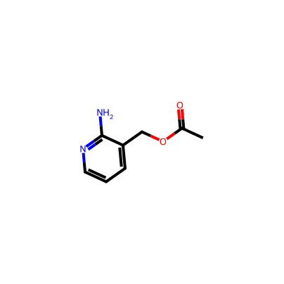 CC(=O)OCc1cccnc1N